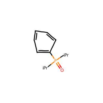 CC(C)P(=O)(c1ccccc1)C(C)C